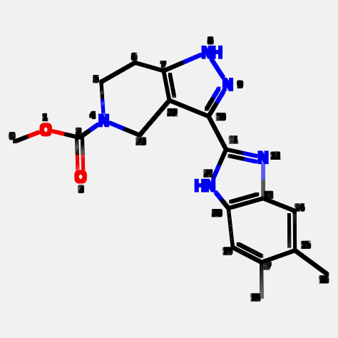 COC(=O)N1CCc2[nH]nc(-c3nc4cc(C)c(C)cc4[nH]3)c2C1